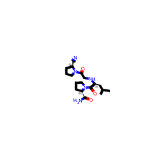 CC(C)C[C@H](NCC(=O)N1CCC[C@H]1C#N)C(=O)N1CCC[C@H]1C(N)=O